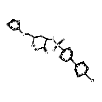 O=C(O)C(CC(O)CSc1nccs1)NS(=O)(=O)c1ccc(-c2ccc(Cl)cc2)cc1